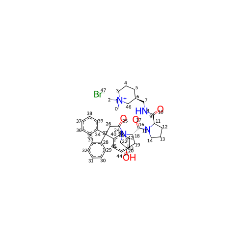 C[N+]1(C)CCC[C@@H](CNC(=O)[C@H]2CCCN2C(=O)[C@@H]2C[C@@H](O)CN2C(=O)CC(c2ccccc2)(c2ccccc2)c2ccccc2)C1.[Br-]